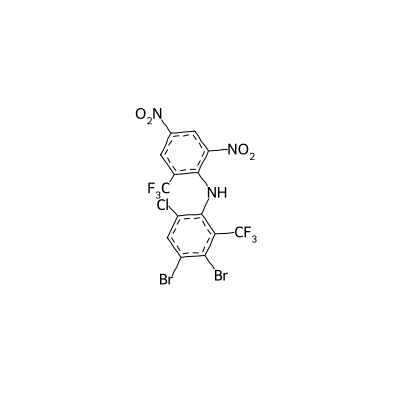 O=[N+]([O-])c1cc([N+](=O)[O-])c(Nc2c(Cl)cc(Br)c(Br)c2C(F)(F)F)c(C(F)(F)F)c1